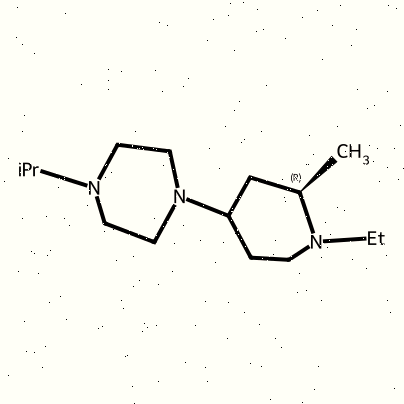 CCN1CCC(N2CCN(C(C)C)CC2)C[C@H]1C